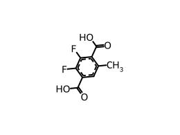 Cc1cc(C(=O)O)c(F)c(F)c1C(=O)O